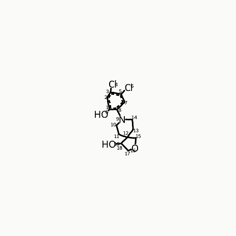 Oc1cc(Cl)c(Cl)cc1N1CCC2(CC1)COCC2O